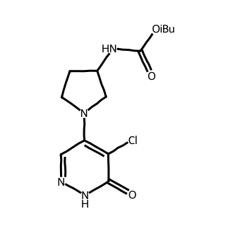 CC(C)COC(=O)NC1CCN(c2cn[nH]c(=O)c2Cl)C1